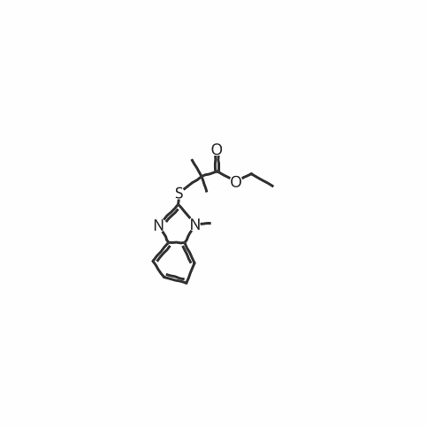 CCOC(=O)C(C)(C)Sc1nc2ccccc2n1C